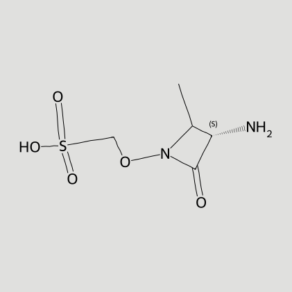 CC1[C@H](N)C(=O)N1OCS(=O)(=O)O